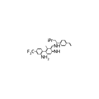 C=Cc1ccc(C(CC(C)C)N/C=C2\C(=N)C=CC(c3ccc(C(F)(F)F)cc3N)=C2C)cc1